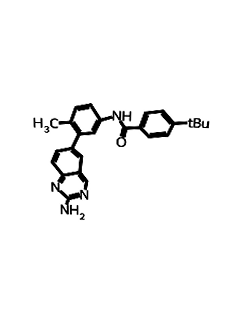 Cc1ccc(NC(=O)c2ccc(C(C)(C)C)cc2)cc1-c1ccc2nc(N)ncc2c1